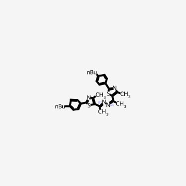 CCCCc1ccc(-c2nc(C)c(/C(C)=N\N=C(/C)c3sc(-c4ccc(CCCC)cc4)nc3C)s2)cc1